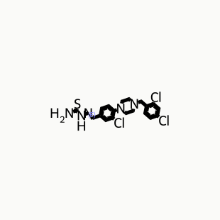 NC(=S)N/N=C/c1ccc(N2CCN(Cc3ccc(Cl)cc3Cl)CC2)c(Cl)c1